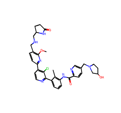 COc1nc(-c2ccnc(-c3cccc(NC(=O)c4ccc(CN5CCC(O)C5)cn4)c3C)c2Cl)ccc1CNCC1CCC(=O)N1